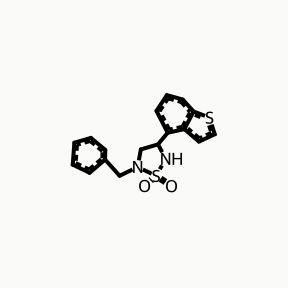 O=S1(=O)NC(c2cccc3sccc23)CN1Cc1ccccc1